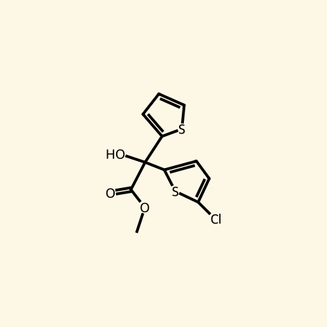 COC(=O)C(O)(c1cccs1)c1ccc(Cl)s1